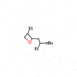 CCCCC(CC)CC1OC[C]1CC